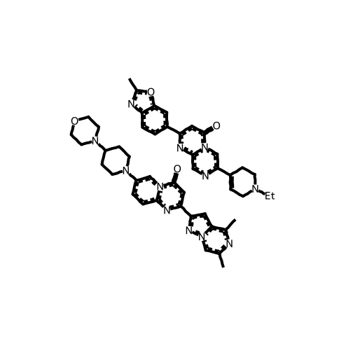 CCN1CC=C(c2cn3c(=O)cc(-c4ccc5nc(C)oc5c4)nc3cn2)CC1.Cc1cn2nc(-c3cc(=O)n4cc(N5CCC(N6CCOCC6)CC5)ccc4n3)cc2c(C)n1